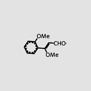 COC(=C[C]=O)c1ccccc1OC